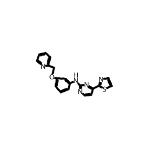 c1ccc(COc2cccc(Nc3nccc(-c4nccs4)n3)c2)nc1